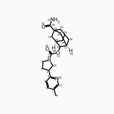 Cc1ccc(C2CCN(C(=O)OC3[C@@H]4CC5C[C@@H]3CC(C(N)=O)(C5)C4)C2)nc1